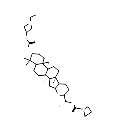 CC(C)[C@@H](OC(=O)N1CCC1)C1C[C@@H](C)[C@H]2C(O1)[C@H](O)[C@@]1(C)C3CC[C@H]4C(C)(C)[C@@H](OC(=O)NC5CN(CC(F)(F)F)C5)CCC45C[C@@]35CC[C@]21C